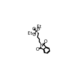 CCOP(=O)(CCCCN1C(=O)c2ccccc2C1=O)OCC